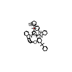 Cc1c2ccc3c1n(c1cc(C(C)(C)C4=CCCC=C4)cn1p1c4c(o2)=CC(C(C)(C)C2=CCCC=C2)CC=4N2C4CCC=CC4N(C4=CC=C(C(C)(C)C)CC4)C21)C1C=CC=CC31